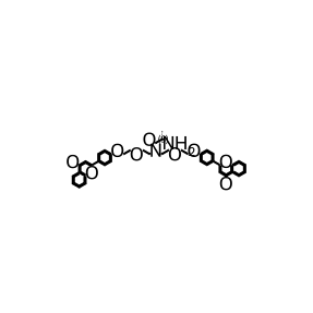 C[C@H](N)C(=O)N(CCOCCOc1ccc(-c2cc(=O)c3ccccc3o2)cc1)CCOCCOc1ccc(-c2cc(=O)c3ccccc3o2)cc1